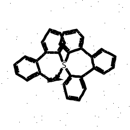 c1ccc2c(c1)-c1ccccc1S1(c3ccccc3-2)c2ccccc2-c2ccccc2-c2ccccc21